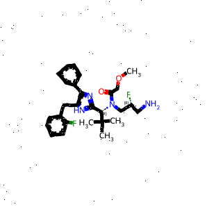 COCC(=O)N(C[C@H](F)CN)[C@@H](c1nc(-c2ccccc2)c(Cc2ccccc2F)[nH]1)C(C)(C)C